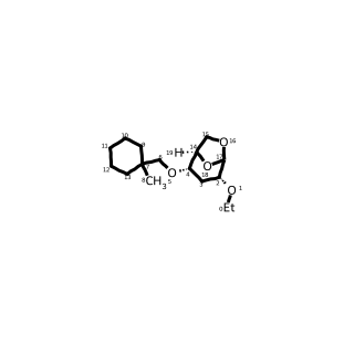 CCO[C@@H]1C[C@H](OCC2(C)CCCCC2)[C@H]2COC1O2